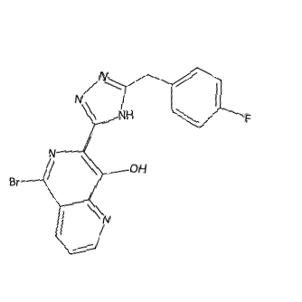 Oc1c(-c2nnc(Cc3ccc(F)cc3)[nH]2)nc(Br)c2cccnc12